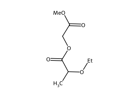 CCOC(C)C(=O)OCC(=O)OC